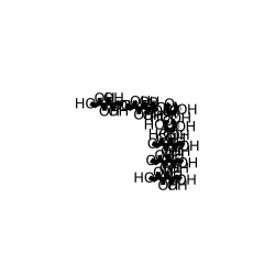 O=CC(O)C(O)C(O)C(O)C(=O)O.O=CC(O)C(O)C(O)C(O)CO.O=CC(O)C(O)C(O)C(O)CO.OC1OC[C@@H](O)[C@@H](O)[C@H]1O.OC1OC[C@@H](O)[C@H](O)[C@H]1O.OCC(O)C(O)C(O)C(O)CO.OCC(O)C(O)C(O)C(O)CO